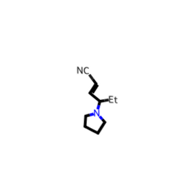 CCC(C=CC#N)N1CCCC1